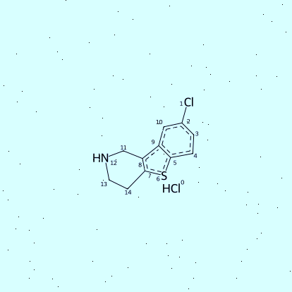 Cl.Clc1ccc2sc3c(c2c1)CNCC3